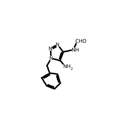 Nc1c(NC=O)nnn1Cc1ccccc1